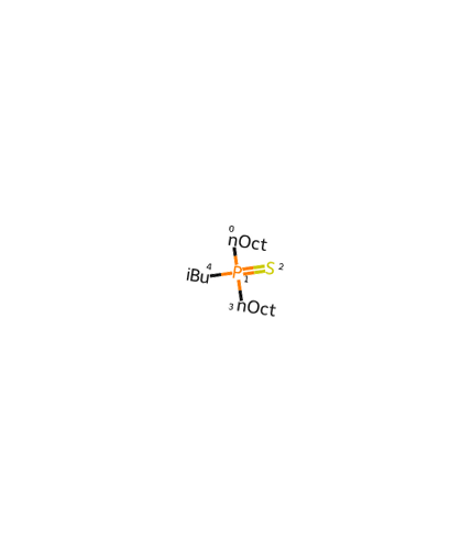 CCCCCCCCP(=S)(CCCCCCCC)C(C)CC